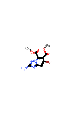 CC(C)(C)OC(=O)c1c(Br)cc2nc(N)nn2c1C(=O)OC(C)(C)C